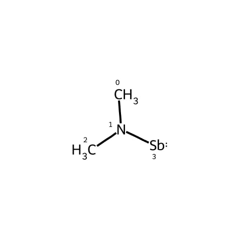 C[N](C)[Sb]